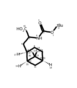 CC(C)(C)OC(=O)NC(C[C@H]1CC[C@H]2C[C@@H]1C2(C)C)C(=O)O